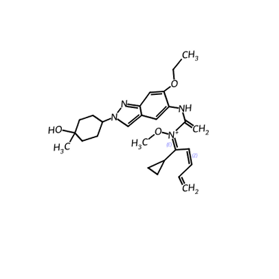 C=C/C=C\C(C1CC1)=[N+](\OC)C(=C)Nc1cc2cn(C3CCC(C)(O)CC3)nc2cc1OCC